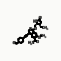 CC[C@@H]1CC(=O)N[C@@H]1COc1ncc(C#CC2CCC(C=O)CC2)c2cc(C(N)=O)c(OC)cc12